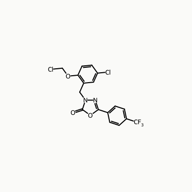 O=c1oc(-c2ccc(C(F)(F)F)cc2)nn1Cc1cc(Cl)ccc1OCCl